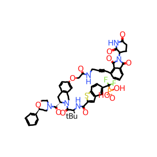 CC(C)(C)[C@H](NC(=O)c1cc2cc(C(F)(F)P(=O)(O)O)ccc2s1)C(=O)N1Cc2cc(OCC(=O)NCC#Cc3cccc4c3C(=O)N(C3CCC(=O)NC3=O)C4=O)ccc2C[C@H]1C(=O)N1CCO[C@H](c2ccccc2)C1